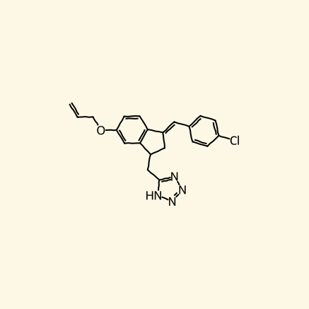 C=CCOc1ccc2c(c1)C(Cc1nnn[nH]1)CC2=Cc1ccc(Cl)cc1